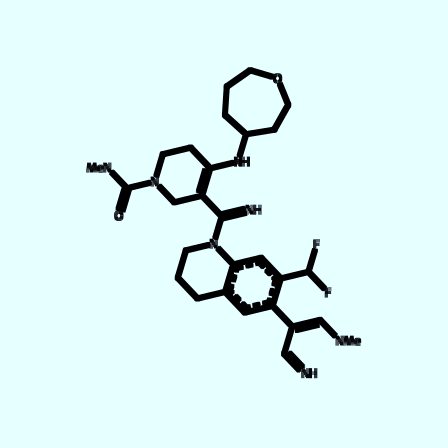 CN/C=C(\C=N)c1cc2c(cc1C(F)F)N(C(=N)C1=C(NC3CCCOCC3)CCN(C(=O)NC)C1)CCC2